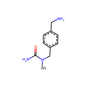 CCCN(Cc1ccc(CN)cc1)C(N)=O